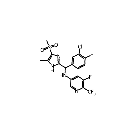 Cc1[nH]c(C(Nc2cnc(C(F)(F)F)c(F)c2)c2ccc(F)c(Cl)c2)nc1S(C)(=O)=O